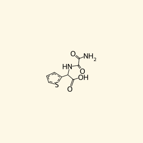 NC(=O)C(=O)NC(C(=O)O)c1cccs1